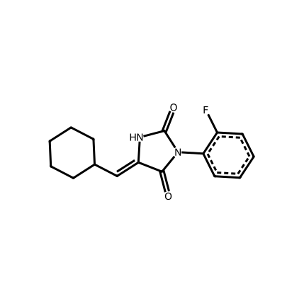 O=C1N/C(=C\C2CCCCC2)C(=O)N1c1ccccc1F